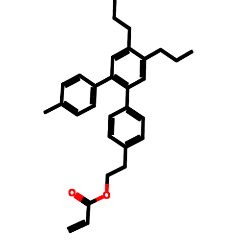 C=CC(=O)OCCc1ccc(-c2cc(CCC)c(CCC)cc2-c2ccc(C)cc2)cc1